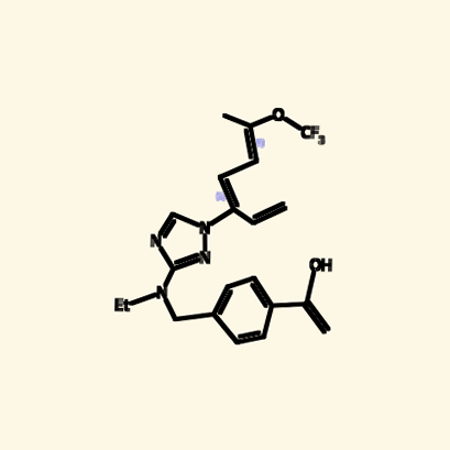 C=C/C(=C\C=C(/C)OC(F)(F)F)n1cnc(N(CC)Cc2ccc(C(=C)O)cc2)n1